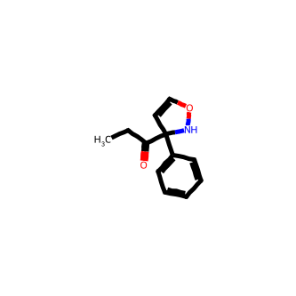 CCC(=O)C1(c2ccccc2)C=CON1